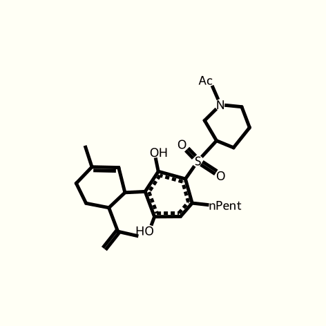 C=C(C)C1CCC(C)=CC1c1c(O)cc(CCCCC)c(S(=O)(=O)C2CCCN(C(C)=O)C2)c1O